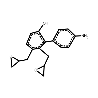 Nc1ccc(-c2c(O)ccc(CC3CO3)c2CC2CO2)cc1